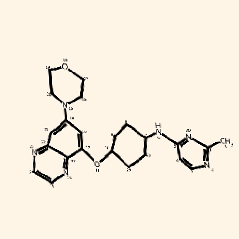 Cc1nccc(NC2CCC(Oc3cc(N4CCOCC4)cc4nccnc34)CC2)n1